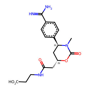 CN1C(=O)O[C@H](CC(=O)NCCC(=O)O)C[C@H]1c1ccc(C(=N)N)cc1